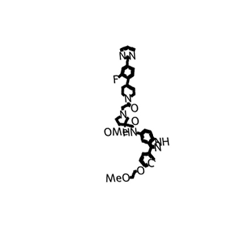 COCCOc1ccc(-c2n[nH]c3ccc(NC(=O)[C@]4(OC)CCN(CC(=O)N5CC=C(c6ccc(-c7ncccn7)cc6F)CC5)C4)cc23)cc1